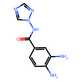 Nc1ccc(C(=O)Nn2cncn2)cc1N